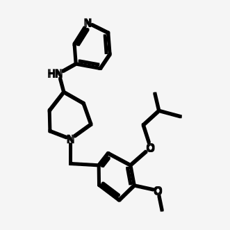 COc1ccc(CN2CCC(Nc3cccnc3)CC2)cc1OCC(C)C